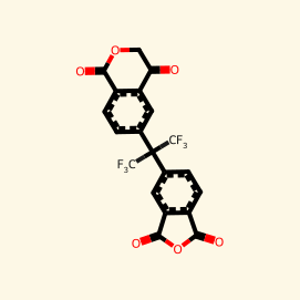 O=C1COC(=O)c2ccc(C(c3ccc4c(c3)C(=O)OC4=O)(C(F)(F)F)C(F)(F)F)cc21